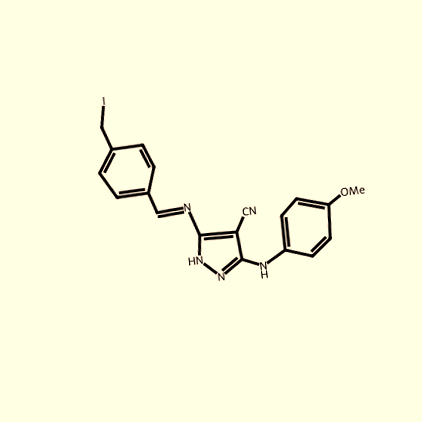 COc1ccc(Nc2n[nH]c(/N=C/c3ccc(CI)cc3)c2C#N)cc1